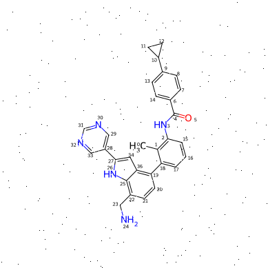 Cc1c(NC(=O)c2ccc(C3CC3)cc2)cccc1-c1ccc(CN)c2[nH]c(-c3cncnc3)cc12